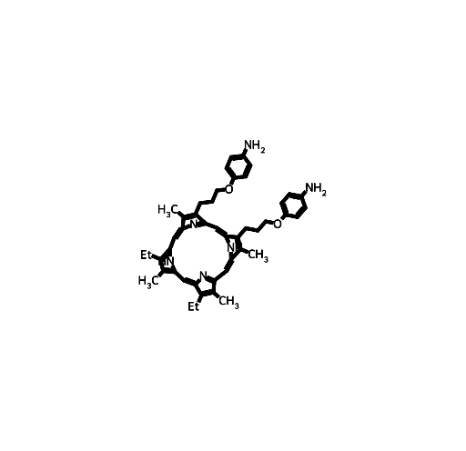 CCC1=C(C)c2cc3[nH]c(cc4nc(cc5[nH]c(cc1n2)c(C)c5CC)C(C)=C4CCCOc1ccc(N)cc1)c(CCCOc1ccc(N)cc1)c3C